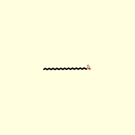 CCCCCCCCCCCCCCCCCCCCCCC[SiH2][O]